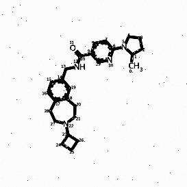 CC1CCCN1c1ccc(C(=O)NCc2ccc3c(c2)CCN(C2CCC2)CC3)cn1